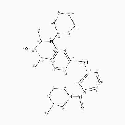 CC1CCCN(C(=O)c2cccc(Nc3cc4c(cn3)N(C)C(=O)C(C)N4C3CCOCC3)c2)C1